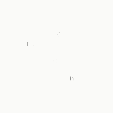 CCCC(C)(C)OC(=O)C(F)(F)F